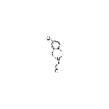 O=CCN1CCc2ccc(Cl)cc2CC1